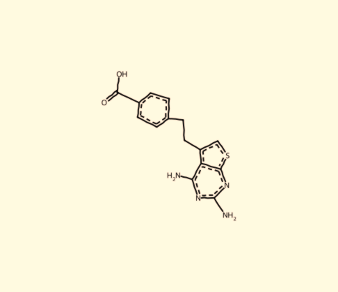 Nc1nc(N)c2c(CCc3ccc(C(=O)O)cc3)csc2n1